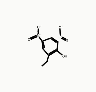 CCc1cc([N+](=O)[O-])ccc1O.S=PCl